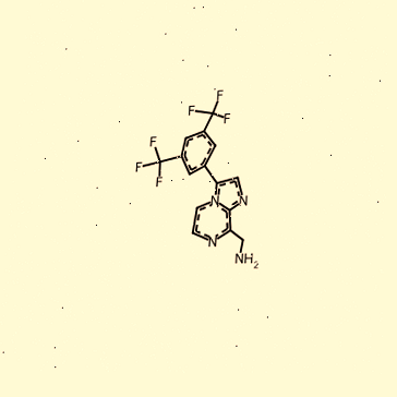 NCc1nccn2c(-c3cc(C(F)(F)F)cc(C(F)(F)F)c3)cnc12